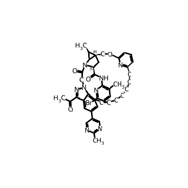 CC(=O)c1nn2c3c(cc(-c4cnc(C)nc4)cc13)CCCCCCCc1cccc(n1)OC[C@@]13C[C@@H](C(=O)Nc4nc(Br)ccc4C)N(C(=O)C2)C1C3C